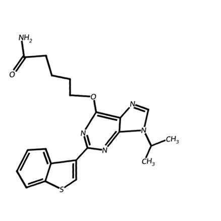 CC(C)n1cnc2c(OCCCCC(N)=O)nc(-c3csc4ccccc34)nc21